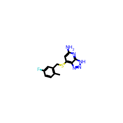 Cc1ccc(F)cc1CSc1cc(N)nc2[nH]nnc12